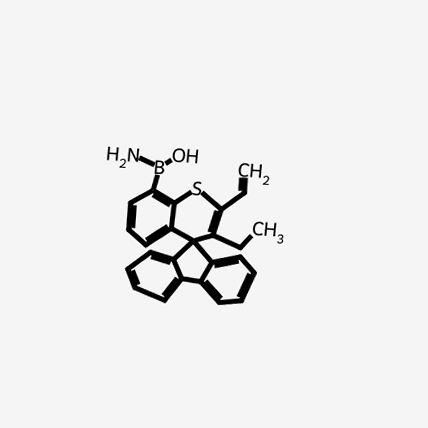 C=CC1=C(CC)C2(c3ccccc3-c3ccccc32)c2cccc(B(N)O)c2S1